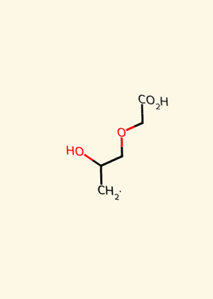 [CH2]C(O)COCC(=O)O